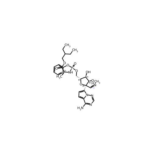 CCC(CC)COC(=O)[C@H](C)NP(=O)(OC[C@H]1O[C@@](/C=N\C)(c2ccc3c(N)ncnn23)[C@H](O)[C@@H]1O)Oc1ccccn1